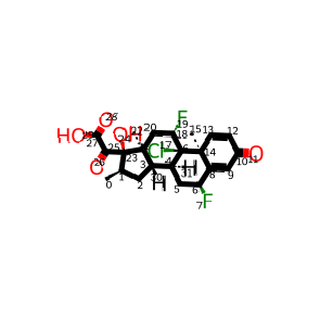 C[C@@H]1C[C@H]2[C@@H]3C[C@H](F)C4=CC(=O)C=C[C@]4(C)[C@@]3(Cl)[C@@H](F)C[C@]2(C)[C@@]1(O)C(=O)C(=O)O